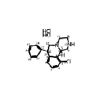 Cl.Cl.Clc1cccc2c1[C@H]1CNCCN1C[C@@H]2c1ccccc1